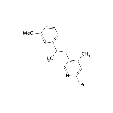 COc1cccc(C(C)Cc2cnc(C(C)C)cc2C)n1